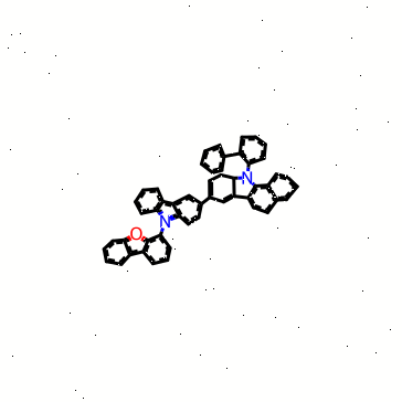 C1=C(c2ccc3c(c2)c2ccccc2n3-c2cccc3c2oc2ccccc23)C=C2c3ccc4ccccc4c3N(c3ccccc3-c3ccccc3)C2C1